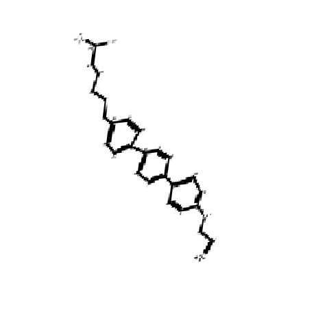 C=CCOc1ccc(-c2ccc(-c3ccc(CCCCCC(C)F)cc3)cc2)cc1